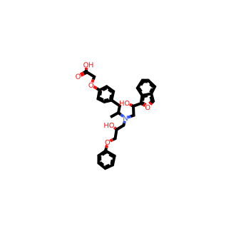 CC(Cc1ccc(OCC(=O)O)cc1)N(CC(O)COc1ccccc1)CC(O)c1occ2ccccc12